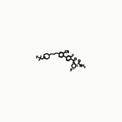 CC(C)(F)CN1CCC(CCCc2ccc(-c3ccc(C(=O)N4C[C@@H](F)C[C@H]4C(N)=O)c(F)c3)c(C#N)c2)CC1